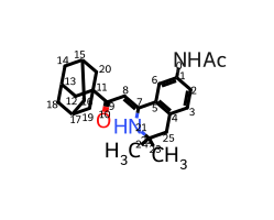 CC(=O)Nc1ccc2c(c1)/C(=C/C(=O)C13CC4CC(CC(C4)C1)C3)NC(C)(C)C2